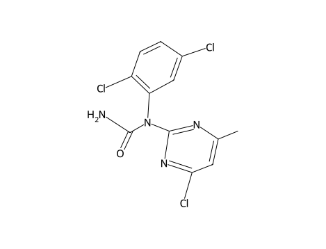 Cc1cc(Cl)nc(N(C(N)=O)c2cc(Cl)ccc2Cl)n1